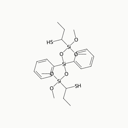 CCC(S)[Si](OC)(OC)O[Si](O[Si](OC)(OC)C(S)CC)(c1ccccc1)c1ccccc1